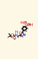 CC(C)(C)OC(=O)NCc1nnc(-c2ccc(B(O)O)cc2)o1